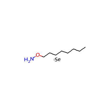 CCCCCCCCON.[Se]